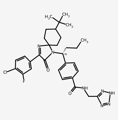 CCC[C@H](c1ccc(C(=O)NCc2nn[nH]n2)cc1)N1C(=O)C(c2ccc(Cl)c(F)c2)=NC12CCC(C(C)(C)C)CC2